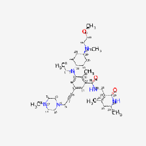 CCN(c1cc(C#CCN2CCN(C)CC2)cc(C(=O)NCc2c(C)cc(C)[nH]c2=O)c1C)[C@H]1CC[C@H](N(C)CCOC)CC1